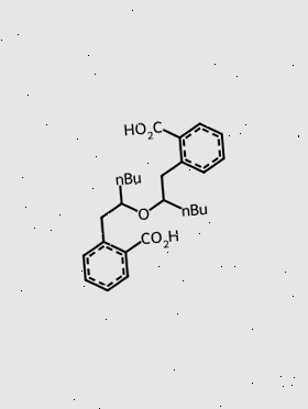 CCCCC(Cc1ccccc1C(=O)O)OC(CCCC)Cc1ccccc1C(=O)O